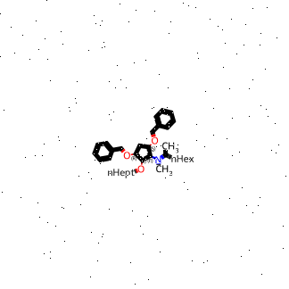 CCCCCCCO[C@H]1[C@H](N(C)C(C)CCCCCC)[C@@H](OCc2ccccc2)C[C@H]1OCc1ccccc1